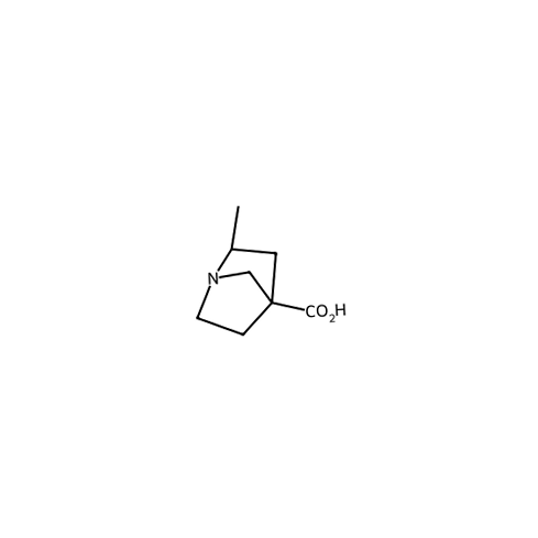 CC1CC2(C(=O)O)CCN1C2